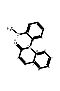 COc1ccccc1-n1c(=O)ccc2ccccc21